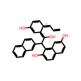 C=C/C=c1/ccc(O)c/c1=C(/O)C(c1ccc2ccccc2c1)c1c(O)ccc2ccc(O)cc12